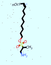 CCCCCCCC/C=C\CCCCCCCCOS(=O)(=O)C(C)CN